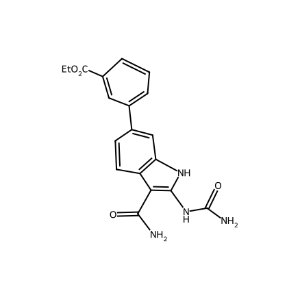 CCOC(=O)c1cccc(-c2ccc3c(C(N)=O)c(NC(N)=O)[nH]c3c2)c1